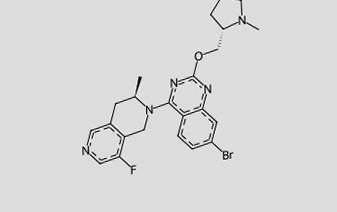 C[C@@H]1Cc2cncc(F)c2CN1c1nc(OC[C@@H]2CCCN2C)nc2cc(Br)ccc12